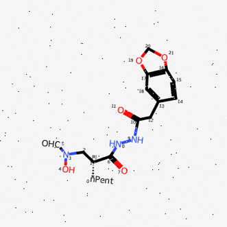 CCCCC[C@H](CN(O)C=O)C(=O)NNC(=O)Cc1ccc2c(c1)OCO2